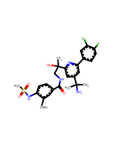 COc1cc(C(=O)NCC(O)(c2cc(C(C)(C)N)cc(-c3ccc(F)c(Cl)c3)n2)C(F)(F)F)ccc1NS(C)(=O)=O